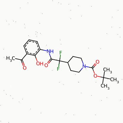 CC(=O)c1cccc(NC(=O)C(F)(F)C2CCN(C(=O)OC(C)(C)C)CC2)c1O